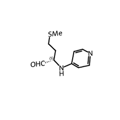 CSCC[C@@H](C=O)Nc1ccncc1